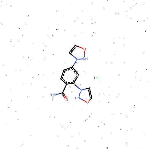 Cl.NC(=O)c1ccc(N2C=CON2)cc1N1C=CON1